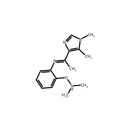 CC(=Nc1ccccc1O[SiH](C)C)c1ncn(C)c1C